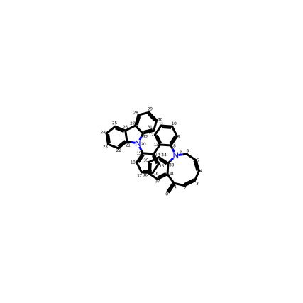 C=C1/C=C\C=C/CN(c2ccccc2-c2ccccc2-n2c3ccccc3c3ccccc32)c2ccccc21